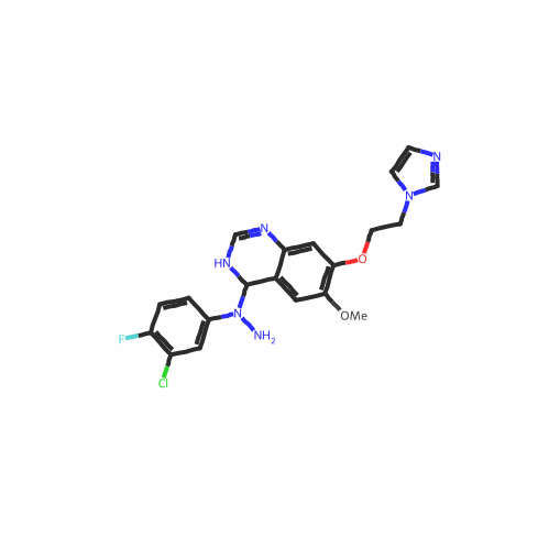 COc1cc2c(cc1OCCn1ccnc1)N=CNC2N(N)c1ccc(F)c(Cl)c1